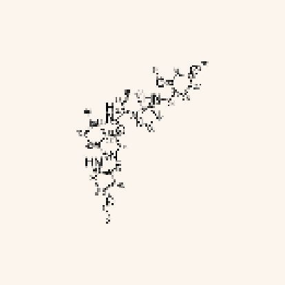 CCOc1ccc(Nc2nccc3c(NC(=O)c4cccc5c(NCc6ccc(OC)cc6OC)ncnc45)c(C)ccc23)c(F)c1